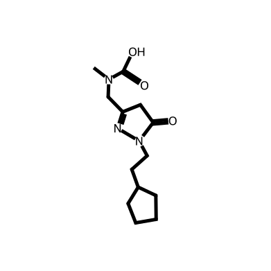 CN(CC1=NN(CCC2CCCC2)C(=O)C1)C(=O)O